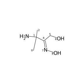 CC(C)(N)C(CO)=NO